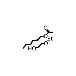 CCCCCCOC(C)=O.CCOCCO